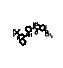 COc1cc(C(=O)Nc2cccc(Nc3cc(C(F)(F)F)nc4ccccc34)c2)c(Cl)cn1